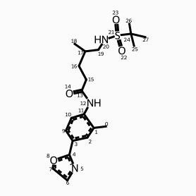 Cc1cc(-c2ncco2)ccc1NC(=O)CCC(C)CNS(=O)(=O)C(C)(C)C